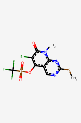 CSc1ncc2c(OS(=O)(=O)C(F)(F)F)c(Br)c(=O)n(C)c2n1